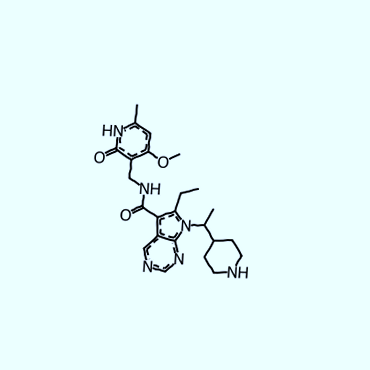 CCc1c(C(=O)NCc2c(OC)cc(C)[nH]c2=O)c2cncnc2n1C(C)C1CCNCC1